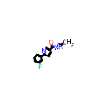 C=CCNC(=O)c1ccc(-c2cccc(F)c2)nc1